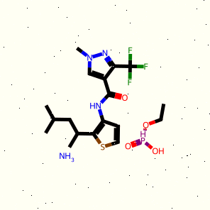 CC(C)CC(C)c1sccc1NC(=O)c1cn(C)nc1C(F)(F)F.CCO[PH](=O)O.N